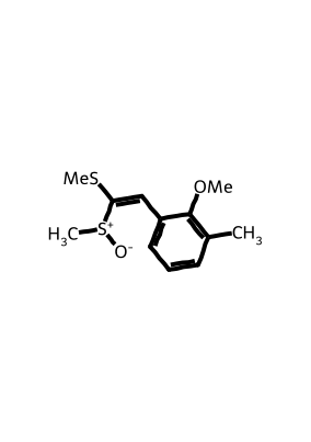 COc1c(C)cccc1/C=C(/SC)[S+](C)[O-]